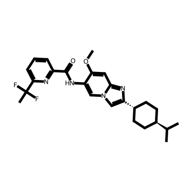 COc1cc2nc([C@H]3CC[C@H](C(C)C)CC3)cn2cc1NC(=O)c1cccc(C(C)(F)F)n1